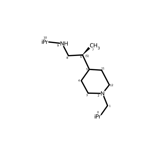 CC(C)CN1CCC([C@H](C)CNC(C)C)CC1